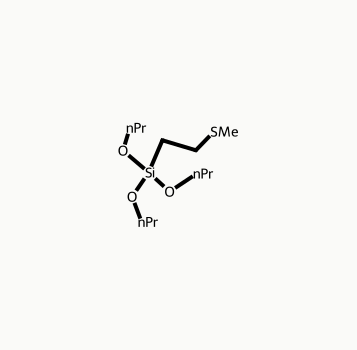 CCCO[Si](CCSC)(OCCC)OCCC